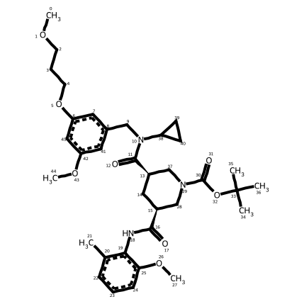 COCCCOc1cc(CN(C(=O)[C@@H]2C[C@H](C(=O)Nc3c(C)cccc3OC)CN(C(=O)OC(C)(C)C)C2)C2CC2)cc(OC)c1